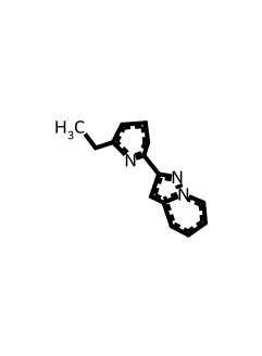 CCc1cccc(-c2cc3ccccn3n2)n1